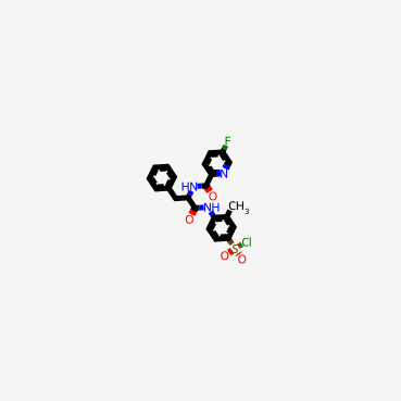 Cc1cc(S(=O)(=O)Cl)ccc1NC(=O)C(Cc1ccccc1)NC(=O)c1ccc(F)cn1